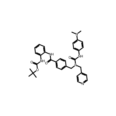 CN(C)c1ccc(NC(=O)N(Cc2ccncc2)Cc2ccc(C(=O)Nc3ccccc3NC(=O)OC(C)(C)C)cc2)cc1